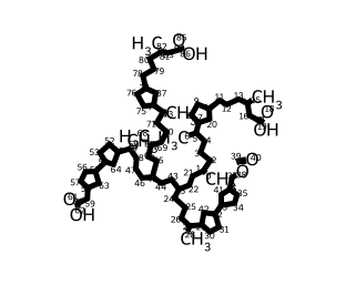 CC(CCCC(C)C1CCC(CCCC(C)CC(=O)O)C1)CCC(CCCC(C)C1CCC(C2CCC(COC=O)C2)C1)CCC(CCCC(C)C1CCC(C2CCC(CC(=O)O)C2)C1)CCC(C)CCCC(C)C1CCC(CCCC(C)CC(=O)O)C1